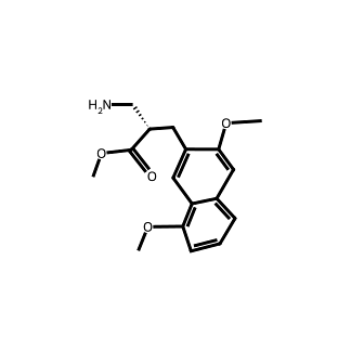 COC(=O)[C@H](CN)Cc1cc2c(OC)cccc2cc1OC